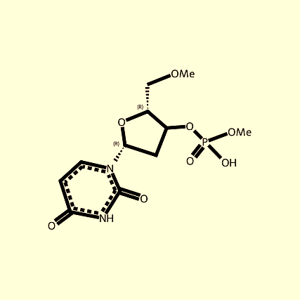 COC[C@H]1O[C@@H](n2ccc(=O)[nH]c2=O)CC1OP(=O)(O)OC